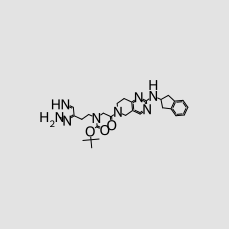 CC(C)(C)OC(=O)N(CC/C(C=N)=N/N)CC(=O)N1CCc2nc(NC3Cc4ccccc4C3)ncc2C1